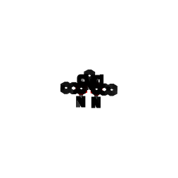 N#Cc1cc(N(c2ccccc2)c2cc(C#N)c3c(c2Cl)C2c4ccccc4C3c3ccccc32)c(Cl)c2c1C1c3ccccc3C2c2ccccc21